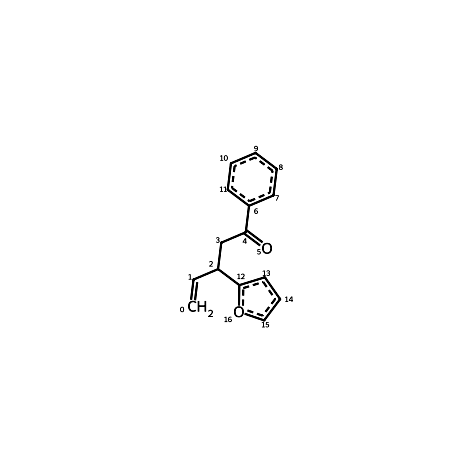 C=CC(CC(=O)c1ccccc1)c1ccco1